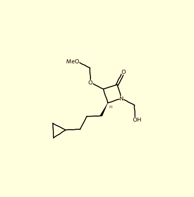 COCOC1C(=O)N(CO)[C@H]1CCCC1CC1